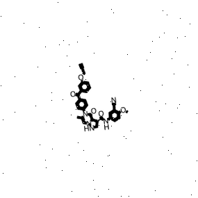 C#CCOc1cccc(C(=O)c2ccc(N3C(=O)C4[C@@H](C(=O)Nc5ccc(OC)c(C#N)c5)CNN4C=C3C)cc2)c1